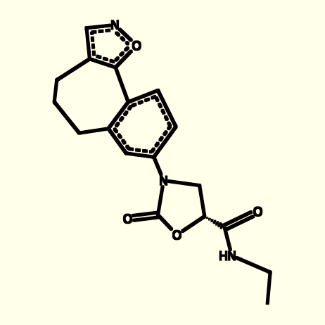 CCNC(=O)[C@H]1CN(c2ccc3c(c2)CCCc2cnoc2-3)C(=O)O1